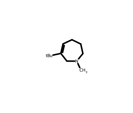 CN1CCCC=C(C(C)(C)C)C1